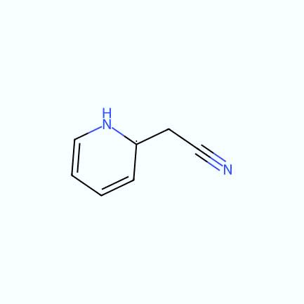 N#CC[C]1C=CC=CN1